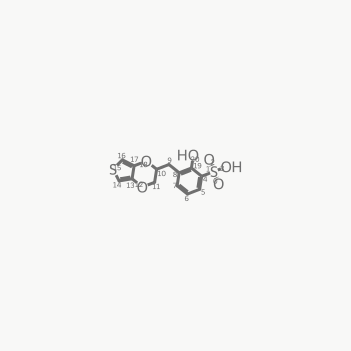 O=S(=O)(O)c1cccc(CC2COc3cscc3O2)c1O